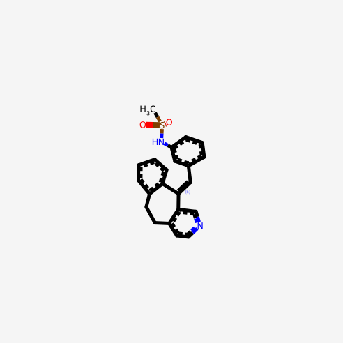 CS(=O)(=O)Nc1cccc(/C=C2\c3ccccc3CCc3ccncc32)c1